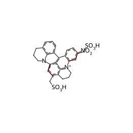 O=[N+]([O-])c1ccc(C(c2cccc3c2N(CCCCS(=O)(=O)O)CCC3)=c2cccc3c2=[N+](CCCCS(=O)(=O)O)CCC3)cc1